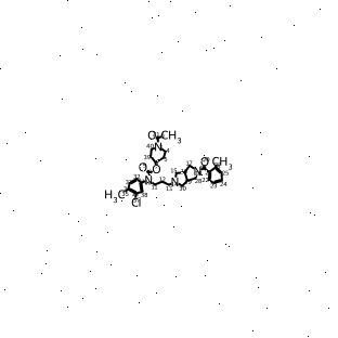 CC(=O)N1CCC(OC(=O)N(CCCN2CC3CN(C(=O)c4ccccc4C)CC3C2)c2ccc(C)c(Cl)c2)CC1